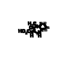 CN1C(=O)[C@@H](NC(=O)O)CNc2ccccc21